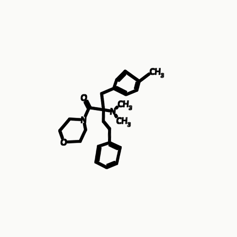 Cc1ccc(CC(CCc2ccccc2)(C(=O)N2CCOCC2)N(C)C)cc1